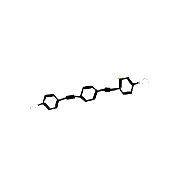 CCCc1ccc(C#Cc2ccc(C#Cc3ccc(CC)cc3)cc2)c(F)c1